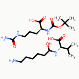 CC(C)(C)OC(=O)N[C@@H](CCCNC(N)=O)C(=O)O.CC(C)[C@H](NC(O)CCCCCN)C(=O)O